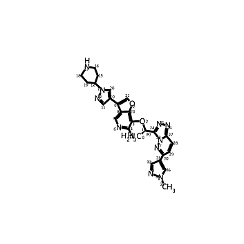 C[C@@H](Oc1c(N)ncc2c(-c3cnn(C4CCNCC4)c3)coc12)c1nnc2ccc(-c3cnn(C)c3)nn12